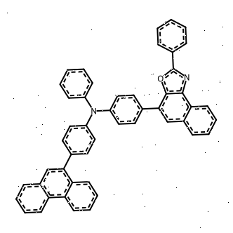 c1ccc(-c2nc3c(o2)c(-c2ccc(N(c4ccccc4)c4ccc(-c5cc6ccccc6c6ccccc56)cc4)cc2)cc2ccccc23)cc1